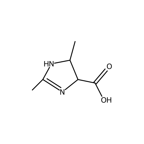 CC1=NC(C(=O)O)C(C)N1